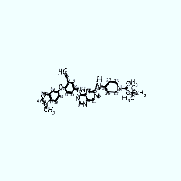 C#Cc1cc(Nc2ncnc3cnc(NC4CCN(C(=O)OC(C)(C)C)CC4)nc23)ccc1Oc1ccc2c(c1)ncn2C